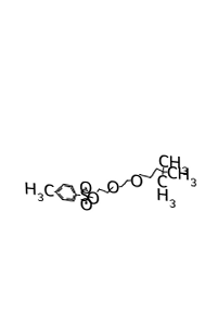 Cc1ccc(S(=O)(=O)OCCOCCOCCCC(C)(C)C)cc1